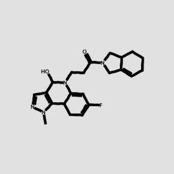 Cn1ncc2c1C1CC=C(F)C=C1N(CCC(=O)N1CC3=CCCCC3C1)C2O